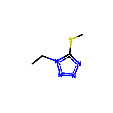 CCn1nnnc1SC